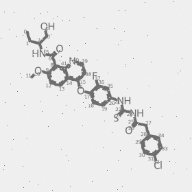 CCC(CO)NC(=O)c1c(OC)ccc2c(Oc3ccc(NC(=S)NC(=O)Cc4ccc(Cl)cc4)cc3F)ccnc12